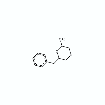 CC(=O)OC1COCC(Cc2ccccc2)O1